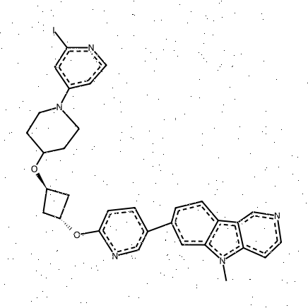 Cn1c2ccncc2c2ccc(-c3ccc(O[C@H]4C[C@H](OC5CCN(c6ccnc(I)c6)CC5)C4)nc3)cc21